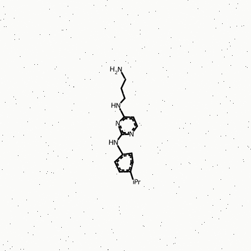 CC(C)c1ccc(Nc2nccc(NCCCN)n2)cc1